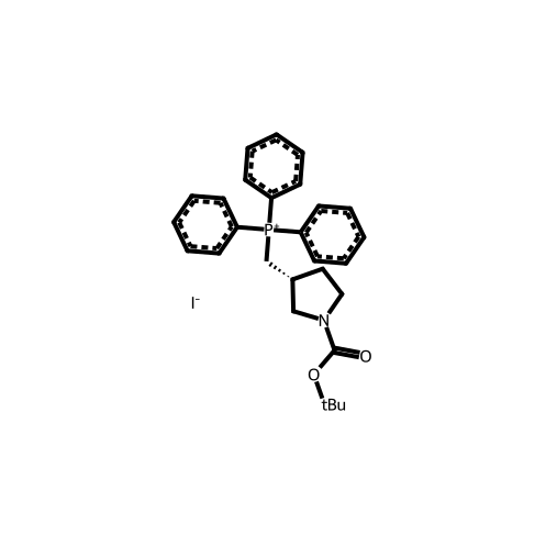 CC(C)(C)OC(=O)N1CC[C@@H](C[P+](c2ccccc2)(c2ccccc2)c2ccccc2)C1.[I-]